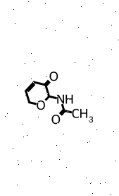 CC(=O)NC1OCC=CC1=O